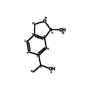 CC(O)c1ccc2c(c1)B(O)OC2